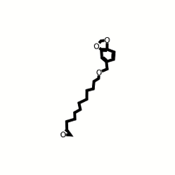 c1cc2c(cc1COCCCCCCCCCCC1CO1)OCO2